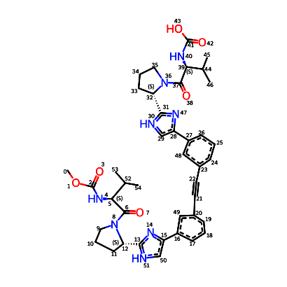 COC(=O)N[C@H](C(=O)N1CCC[C@H]1c1nc(-c2cccc(C#Cc3cccc(-c4c[nH]c([C@@H]5CCCN5C(=O)[C@@H](NC(=O)O)C(C)C)n4)c3)c2)c[nH]1)C(C)C